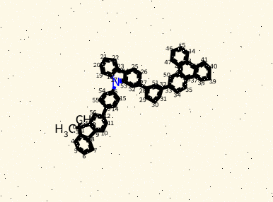 CC1(C)c2ccccc2-c2ccc(-c3ccc(-n4c5ccccc5c5ccc(-c6cccc(-c7ccc8c9ccccc9c9ccccc9c8c7)c6)cc54)cc3)cc21